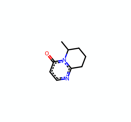 CC1CCCc2nccc(=O)n21